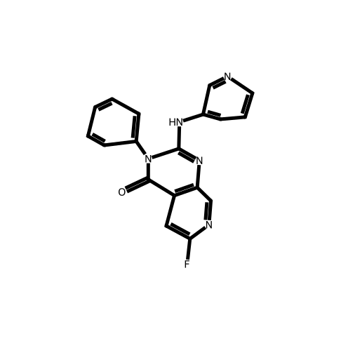 O=c1c2cc(F)ncc2nc(Nc2cccnc2)n1-c1ccccc1